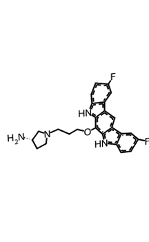 N[C@H]1CCN(CCCOc2c3[nH]c4ccc(F)cc4c3cc3c2[nH]c2ccc(F)cc23)C1